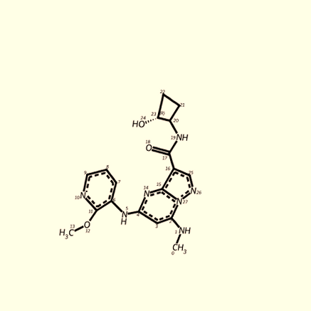 CNc1cc(Nc2cccnc2OC)nc2c(C(=O)NC3CC[C@H]3O)cnn12